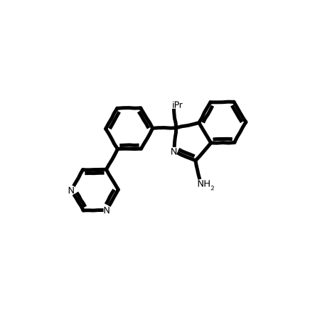 CC(C)C1(c2cccc(-c3cncnc3)c2)N=C(N)c2ccccc21